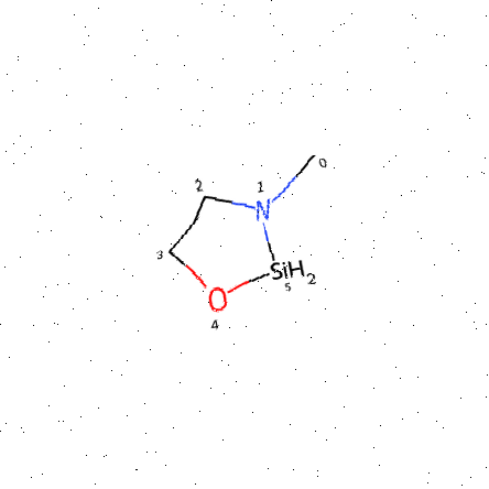 CN1CCO[SiH2]1